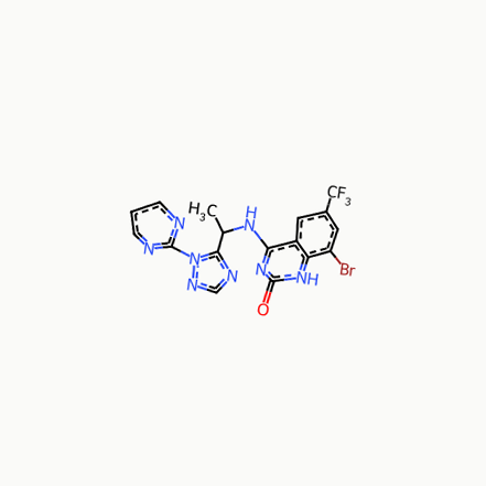 CC(Nc1nc(=O)[nH]c2c(Br)cc(C(F)(F)F)cc12)c1ncnn1-c1ncccn1